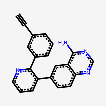 C#Cc1cccc(-c2ncccc2-c2ccc3ncnc(N)c3c2)c1